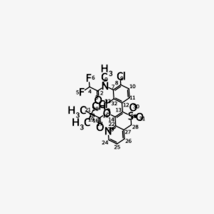 CN(C(=O)C(F)F)c1c(Cl)ccc(C2=C(OC(=O)C(C)(C)C)c3ncccc3CS2(=O)=O)c1Cl